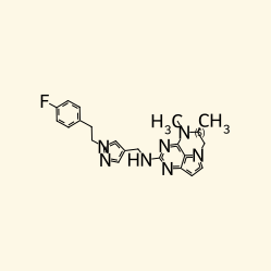 C[C@H]1Cn2ccc3nc(NCc4cnn(CCc5ccc(F)cc5)c4)nc(c32)N1C